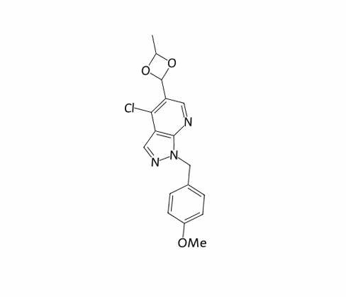 COc1ccc(Cn2ncc3c(Cl)c(C4OC(C)O4)cnc32)cc1